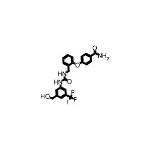 NC(=O)c1ccc(Oc2ccccc2CNC(=O)Nc2cc(CO)cc(C(F)(F)F)c2)cc1